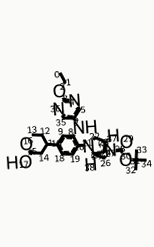 CCOc1ncc(Nc2cc(C(CC)CC(=O)O)ccc2N2C[C@@H]3C[C@H]2CN3C(=O)OC(C)(C)C)cn1